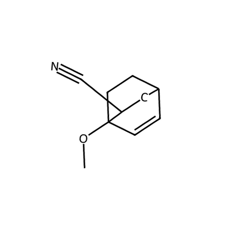 COC12C=CC(CC1)CC2C#N